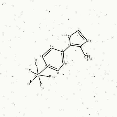 Cc1ncoc1-c1ccc(S(F)(F)(F)(F)F)cc1